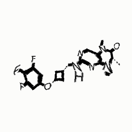 C[C@H]1C(=O)N(C)c2cnc(NC[C@H]3C[C@@H](Oc4cc(F)c(F)c(F)c4)C3)nc2N1C